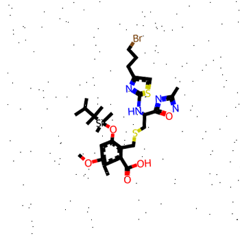 COc1cc(O[Si](C)(C)C(C)(C)C(C)C)c(CSCC(Nc2nc(CCCBr)cs2)c2nc(C)no2)c(C(=O)O)c1C